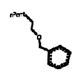 CC[CH]CCCCOCc1ccccc1